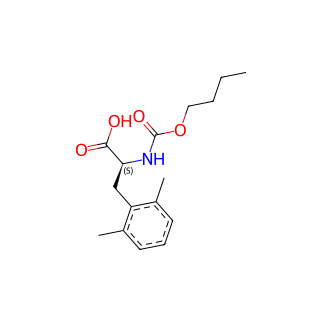 CCCCOC(=O)N[C@@H](Cc1c(C)cccc1C)C(=O)O